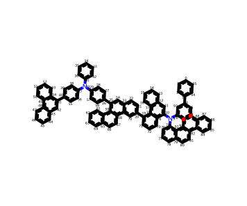 c1ccc(-c2cccc(N(c3cc4ccccc4c4c(-c5ccc6cc(-c7ccc(N(c8ccccc8)c8ccc(-c9cc%10ccccc%10c%10ccccc9%10)cc8)cc7)c7c8ccccc8ccc7c6c5)cccc34)c3cccc4ccc5c6ccccc6ccc5c34)c2)cc1